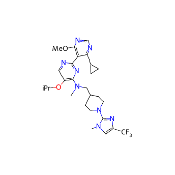 COc1ncnc(C2CC2)c1-c1ncc(OC(C)C)c(N(C)CC2CCN(c3nc(C(F)(F)F)cn3C)CC2)n1